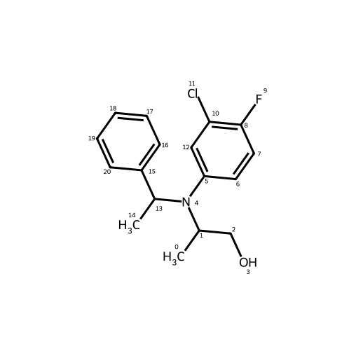 CC(CO)N(c1ccc(F)c(Cl)c1)C(C)c1ccccc1